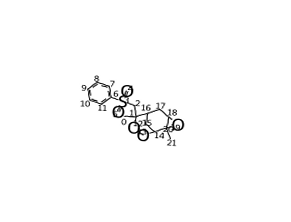 CC1(CS(=O)(=O)c2ccccc2)OOC2CC1CC1OC21C